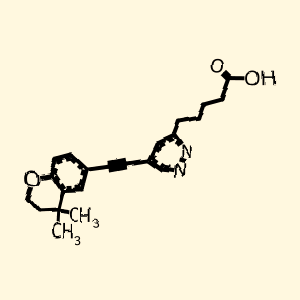 CC1(C)CCOc2ccc(C#Cc3cnnc(CCCCC(=O)O)c3)cc21